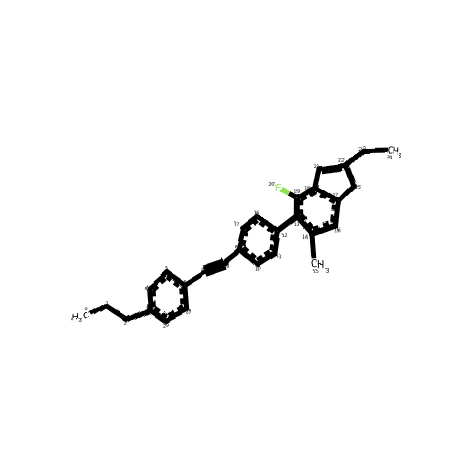 CCCc1ccc(C#Cc2ccc(-c3c(C)cc4c(c3F)C=C(CC)C4)cc2)cc1